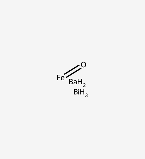 [BaH2].[BiH3].[O]=[Fe]